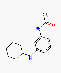 CC(=O)Nc1cccc(NC2CCCCC2)c1